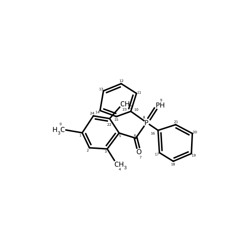 Cc1cc(C)c(C(=O)P(=P)(c2ccccc2)c2ccccc2)c(C)c1